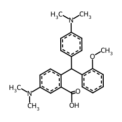 COc1ccccc1C(c1ccc(N(C)C)cc1)c1ccc(N(C)C)cc1C(=O)O